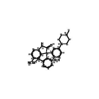 CCOc1ncccc1C1(c2cc(N3CCN(C)CC3)ccc2C(=O)O)C(=O)Nc2ccc(C#N)cc21